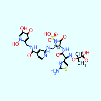 CC(C)(ON=C(C(=O)N[C@@H]1C(=O)N(S(=O)(=O)O)[C@H]1CNc1cc(C(=O)NCc2cc(=O)c(O)cn2O)ccn1)c1csc(N)n1)C(=O)O